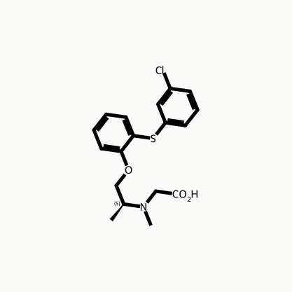 C[C@@H](COc1ccccc1Sc1cccc(Cl)c1)N(C)CC(=O)O